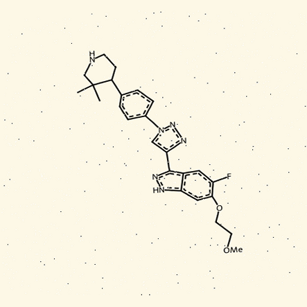 COCCOc1cc2[nH]nc(-c3cn(-c4ccc(C5CCNCC5(C)C)cc4)nn3)c2cc1F